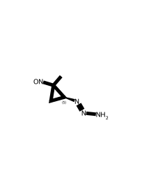 CC1(N=O)C[C@@H]1N=NN